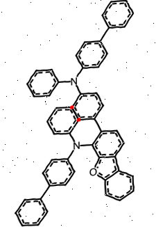 c1ccc(-c2ccc(N(c3ccccc3)c3ccc(-c4ccc5c(oc6ccccc65)c4N(c4ccccc4)c4ccc(-c5ccccc5)cc4)cc3)cc2)cc1